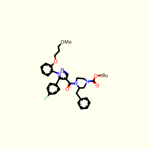 COCCCOc1ccccc1-n1ncc(C(=O)N2CCN(C(=O)OC(C)(C)C)CC2Cc2ccccc2)c1-c1ccc(F)cc1